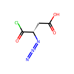 [N-]=[N+]=N[C@@H](CC(=O)O)C(=O)Cl